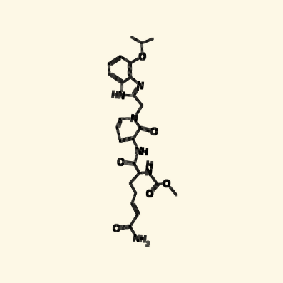 COC(=O)NC(CCC=CC(N)=O)C(=O)Nc1cccn(Cc2nc3c(OC(C)C)cccc3[nH]2)c1=O